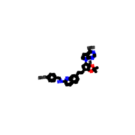 COc1ccc(CNc2ccc3ccc(CC[C@H]4C[C@@H](n5ccc6c(OC)ncnc65)[C@@H]5OC(C)(C)OC45)cc3n2)cc1